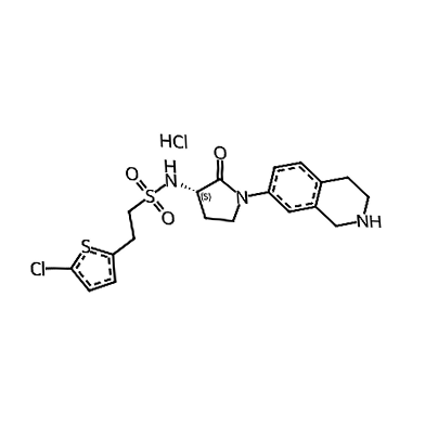 Cl.O=C1[C@@H](NS(=O)(=O)CCc2ccc(Cl)s2)CCN1c1ccc2c(c1)CNCC2